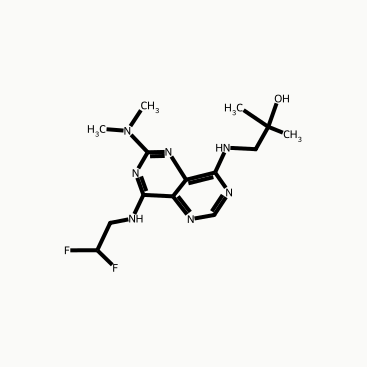 CN(C)c1nc(NCC(F)F)c2ncnc(NCC(C)(C)O)c2n1